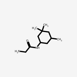 CC1CC(NC(=O)CN)CC(C)(C)C1